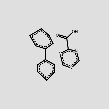 O=C(O)c1ncncn1.c1ccc(-c2ccccc2)cc1